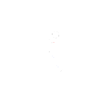 C[N+]1(CCN2CC=CO2)CCC[C@@H]1COC(=O)C(O)(c1ccccc1)C1CCCC1